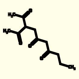 CCCC(=O)CC(=O)CC(C(C)=O)C(C)=O